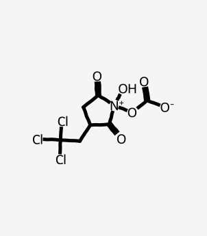 O=C([O-])O[N+]1(O)C(=O)CC(CC(Cl)(Cl)Cl)C1=O